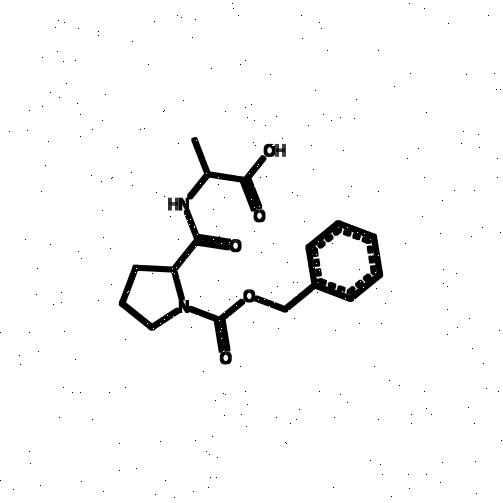 CC(NC(=O)C1CCCN1C(=O)OCc1ccccc1)C(=O)O